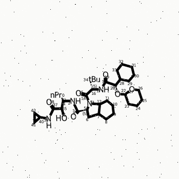 CCC[C@H](NC(=O)[C@@H]1CC2CCCCC2N1C(=O)[C@@H](NC(=O)[C@@H](OC1CCCCO1)C1CCCCC1)C(C)(C)C)C(O)C(=O)NC1CC1